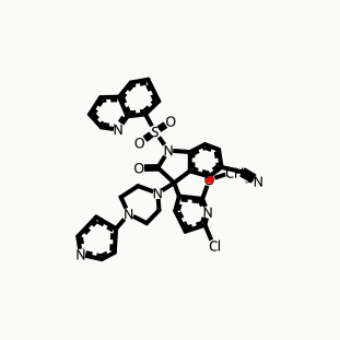 COc1nc(Cl)ccc1C1(N2CCN(c3ccncc3)CC2)C(=O)N(S(=O)(=O)c2cccc3cccnc23)c2ccc(C#N)cc21